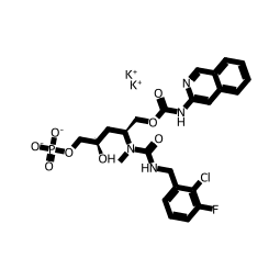 CN(C(=O)NCc1cccc(F)c1Cl)[C@H](COC(=O)Nc1cc2ccccc2cn1)C[C@@H](O)COP(=O)([O-])[O-].[K+].[K+]